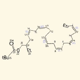 CC/C=C\C/C=C\C/C=C\C/C=C\C/C=C\C/C=C\CC(CC)COC(=O)C(C)(C)C